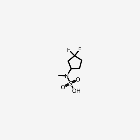 CN(C1CCC(F)(F)C1)S(=O)(=O)O